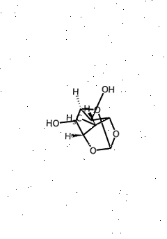 C[C@@H]1C2OC3O[C@@H](C2O)C(O)[C@H]1O3